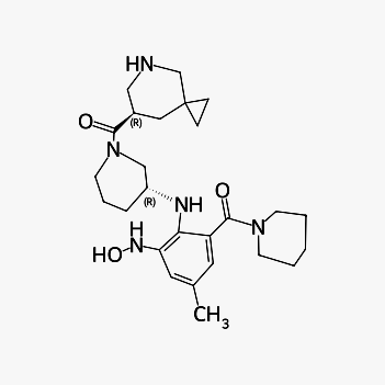 Cc1cc(NO)c(N[C@@H]2CCCN(C(=O)[C@H]3CNCC4(CC4)C3)C2)c(C(=O)N2CCCCC2)c1